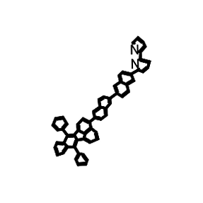 c1ccc(-c2c3c(c(-c4ccccc4)c4ccccc24)-c2ccc(-c4ccc5cc(-c6ccc7cc(-c8cccc(-c9ccccn9)n8)ccc7c6)ccc5c4)c4cccc-3c24)cc1